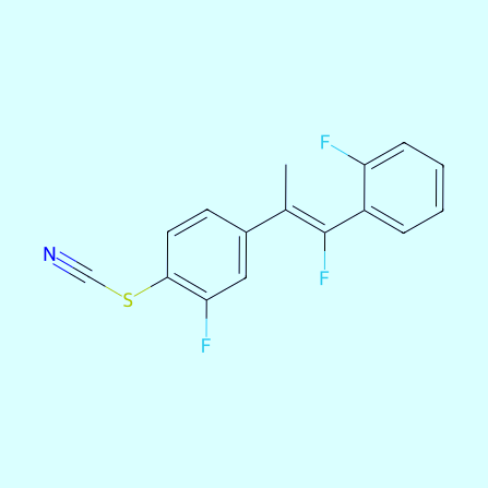 C/C(=C(/F)c1ccccc1F)c1ccc(SC#N)c(F)c1